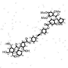 COc1cc(OC)c(C(=O)N(c2ccccc2)c2ccc(C(=O)Oc3ccc(C#Cc4ccc(OC(=O)c5ccc(N(C(=O)c6cc(CO)c(CO)cc6CO)c6ccccc6)c(CO)c5)cc4)cc3)cc2OC)cc1OC